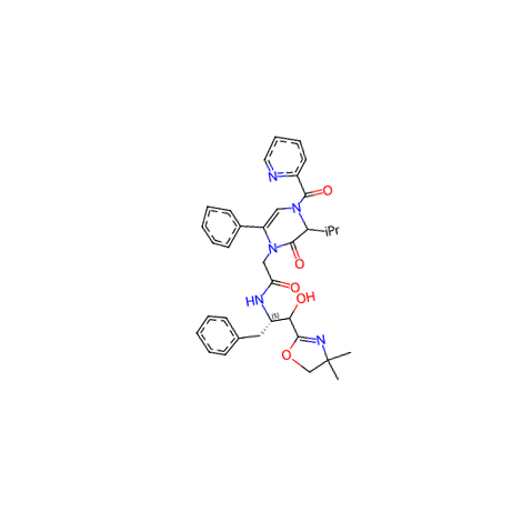 CC(C)C1C(=O)N(CC(=O)N[C@@H](Cc2ccccc2)C(O)C2=NC(C)(C)CO2)C(c2ccccc2)=CN1C(=O)c1ccccn1